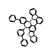 C1=CC2Oc3c(cc4c5c3N(c3cccc(-c6ccccc6)c3)c3cc(-c6ccccc6)ccc3B5n3c5ccccc5c5cccc-4c53)C2C=C1